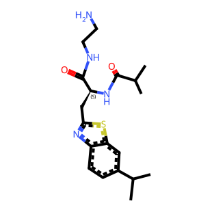 CC(C)C(=O)N[C@@H](Cc1nc2ccc(C(C)C)cc2s1)C(=O)NCCN